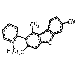 Cc1cc2oc3cc(C#N)ccc3c2c(C)c1-c1cccc[n+]1C